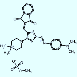 CN(C)c1ccc(/N=N/c2nc(N3CC[N+](C)(C)CC3)c(C=C3C(=O)c4ccccc4C3=O)s2)cc1.COS(=O)(=O)[O-]